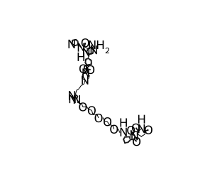 Nc1ncc(-c2ccc(S(=O)(=O)N3CCN(CCCCc4cn(CCOCCOCCOCCOCCOCCNc5cccc6c5C(=O)N(C5CCC(=O)NC5=O)C6=O)nn4)CC3)cc2)nc1C(=O)Nc1cccnc1